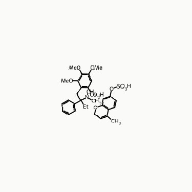 CC1=CCOc2cc(OS(=O)(=O)O)ccc21.CCC(Cc1c(C(=O)O)cc(OC)c(OC)c1OC)(c1ccccc1)N(C)C